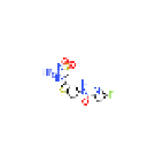 CN1C(=N)N[C@](C)(c2csc3ccc(NC(=O)c4ccc(F)cn4)cc23)CS1(=O)=O